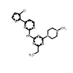 CCc1nc(Nc2nccc(-c3sccc3Cl)n2)nc(N2CCN(C)CC2)n1